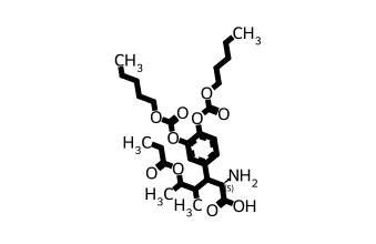 CCCCCOC(=O)Oc1ccc(C(C(C)C(C)OC(=O)CC)[C@H](N)C(=O)O)cc1OC(=O)OCCCCC